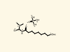 CCCCCCCCCCCCCCCCCC(=O)NC(CC)N(C)C.O=P(O)(O)O